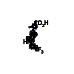 Cc1cc(C(=O)O)ccc1/C=C/S(=O)(=O)N1CCC2(CC1)N=C(c1cccc(OC(F)(F)F)c1)NC2=O